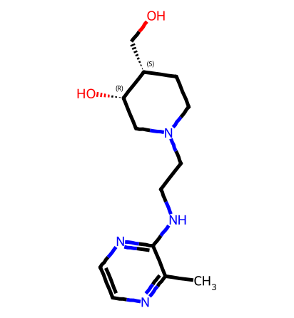 Cc1nccnc1NCCN1CC[C@@H](CO)[C@@H](O)C1